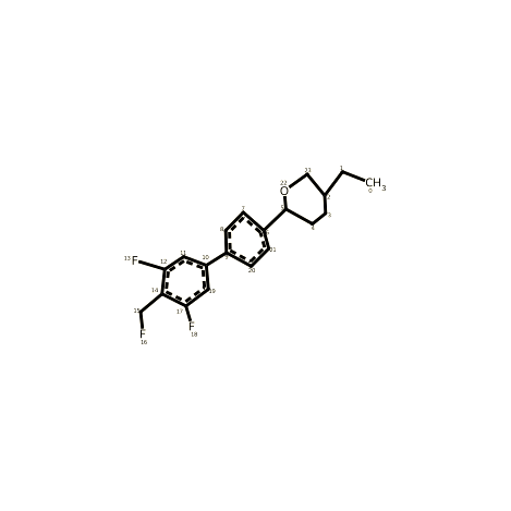 CCC1CCC(c2ccc(-c3cc(F)c(CF)c(F)c3)cc2)OC1